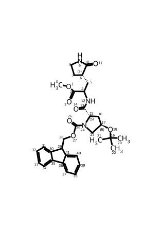 COC(=O)C(C[C@@H]1CCNC1=O)NC(=O)[C@@H]1C[C@@H](OC(C)(C)C)CN1C(=O)OCC1c2ccccc2-c2ccccc21